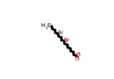 CCCCCC(Br)CCCC(Br)CCCCCCCC([O])=O